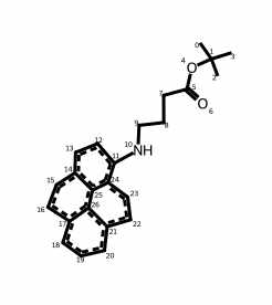 CC(C)(C)OC(=O)CCCNc1ccc2ccc3cccc4ccc1c2c34